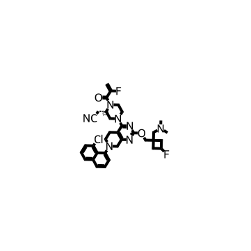 C=C(F)C(=O)N1CCN(c2nc(OCC3(CN(C)C)CC(F)C3)nc3c2CCN(c2cccc4cccc(Cl)c24)C3)C[C@@H]1CC#N